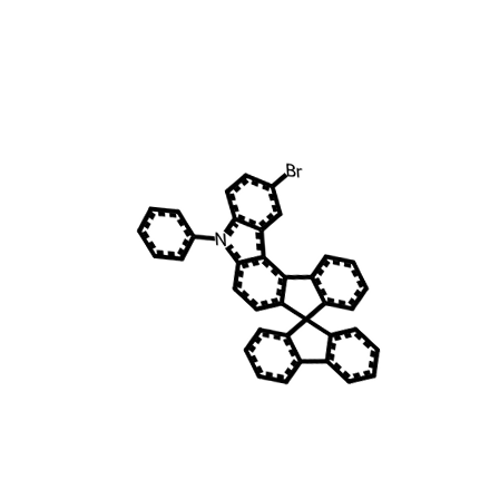 Brc1ccc2c(c1)c1c3c(ccc1n2-c1ccccc1)C1(c2ccccc2-c2ccccc21)c1ccccc1-3